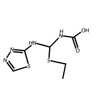 CCSC(NC(=O)O)Nc1nncs1